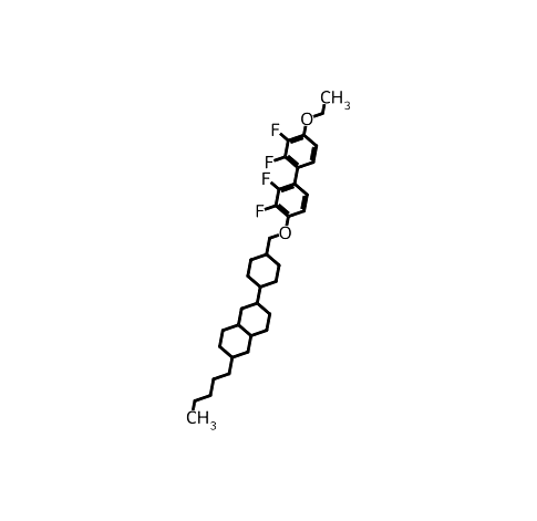 CCCCCC1CCC2CC(C3CCC(COc4ccc(-c5ccc(OCC)c(F)c5F)c(F)c4F)CC3)CCC2C1